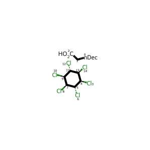 CCCCCCCCCCCC(=O)O.Cl[C@H]1[C@H](Cl)[C@@H](Cl)[C@@H](Cl)[C@H](Cl)[C@H]1Cl